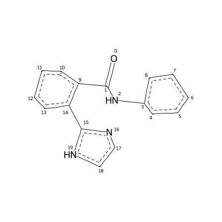 O=C(Nc1ccccc1)c1[c]cccc1-c1ncc[nH]1